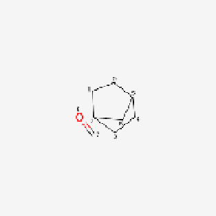 C1CC2CCC1C2.C=O